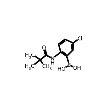 CC(C)(C)C(=O)Nc1ccc(Cl)cc1B(O)O